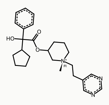 C[N@+]1(CCc2cncnc2)CCCC(OC(=O)C(O)(c2ccccc2)C2CCCC2)C1